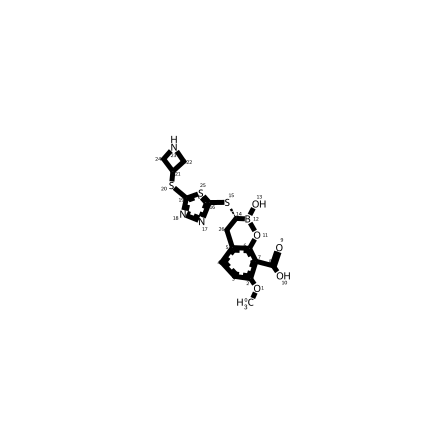 COc1ccc2c(c1C(=O)O)OB(O)[C@@H](Sc1nnc(SC3CNC3)s1)C2